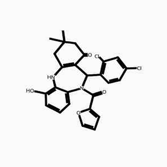 CC1(C)CC(=O)C2=C(C1)Nc1c(O)cccc1N(C(=O)c1ccco1)C2c1ccc(Cl)cc1Cl